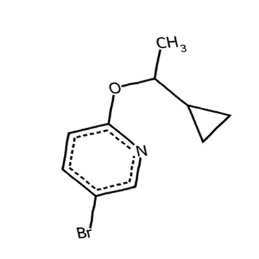 CC(Oc1ccc(Br)cn1)C1CC1